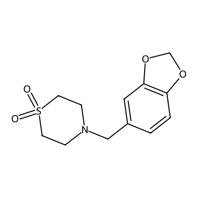 O=S1(=O)CCN(Cc2ccc3c(c2)OCO3)CC1